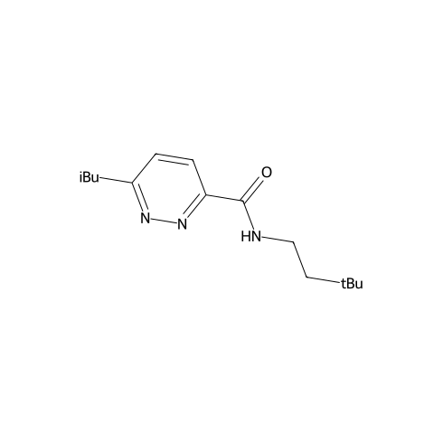 CCC(C)c1ccc(C(=O)NCCC(C)(C)C)nn1